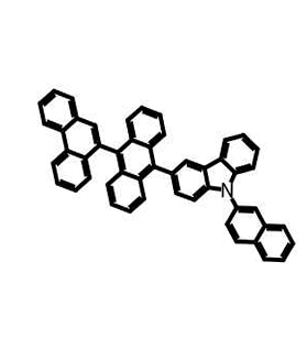 c1ccc2cc(-n3c4ccccc4c4cc(-c5c6ccccc6c(-c6cc7ccccc7c7ccccc67)c6ccccc56)ccc43)ccc2c1